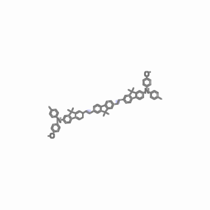 COc1ccc(N(c2ccc(C)cc2)c2ccc3c(c2)C(C)(C)C2=CC(/C=C/c4ccc5c(c4)C(C)(C)c4cc(/C=C/c6ccc7c(c6)C(C)(C)c6cc(N(c8ccc(C)cc8)c8ccc(OC)cc8)ccc6-7)ccc4-5)CC=C23)cc1